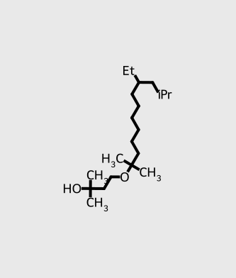 CCC(CCCCCCC(C)(C)OCCC(C)(C)O)CC(C)C